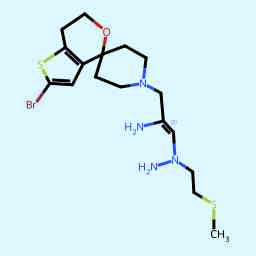 CSCCN(N)/C=C(\N)CN1CCC2(CC1)OCCc1sc(Br)cc12